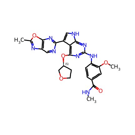 CNC(=O)c1ccc(Nc2nc(O[C@H]3CCOC3)c3c(-c4ncc5nc(C)oc5n4)c[nH]c3n2)c(OC)c1